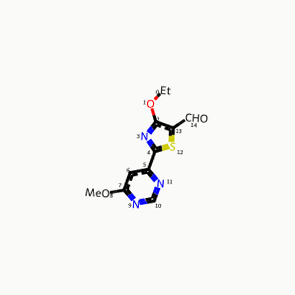 CCOc1nc(-c2cc(OC)ncn2)sc1C=O